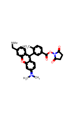 CNCc1ccc2c(-c3cc(C(=O)ON4C(=O)CCC4=O)ccc3C(=O)O)c3ccc(=[N+](C)C)cc-3oc2c1